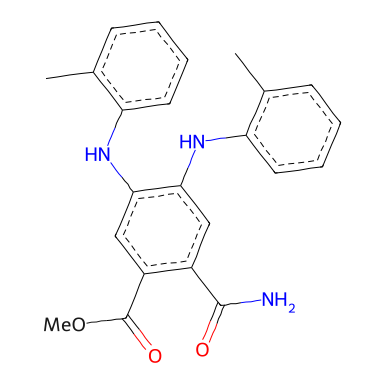 COC(=O)c1cc(Nc2ccccc2C)c(Nc2ccccc2C)cc1C(N)=O